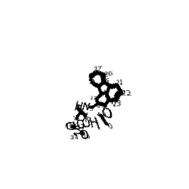 CCOc1c(CNC(C)(CO)COS(C)(=O)=O)cc2c3c(cccc13)-c1ccccc1-2